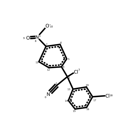 N#CC(Cl)(c1ccc([N+](=O)[O-])cc1)c1cccc(Cl)c1